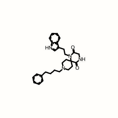 O=C1CNC(=O)C2(CCN(CCCCc3ccccc3)CC2)N1CCc1c[nH]c2ccccc12